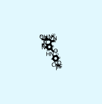 O=C(Nc1ccc(OC(F)(F)Cl)cc1)c1cc(-c2cncnc2)c2c(c1)ncn2C1(CO)CC1